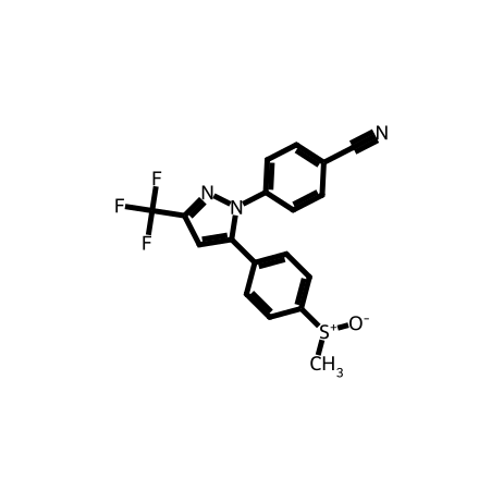 C[S+]([O-])c1ccc(-c2cc(C(F)(F)F)nn2-c2ccc(C#N)cc2)cc1